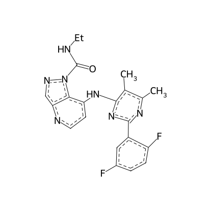 CCNC(=O)n1ncc2nccc(Nc3nc(-c4cc(F)ccc4F)nc(C)c3C)c21